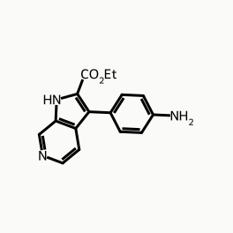 CCOC(=O)c1[nH]c2cnccc2c1-c1ccc(N)cc1